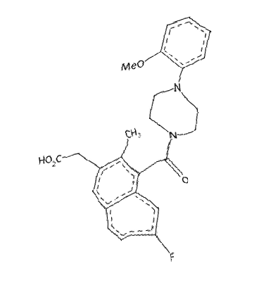 COc1ccccc1N1CCN(C(=O)c2c(C)c(CC(=O)O)cc3ccc(F)cc23)CC1